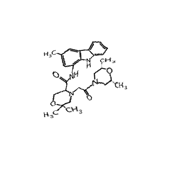 Cc1cc(NC(=O)C2COC(C)(C)CN2CC(=O)N2C[C@@H](C)O[C@@H](C)C2)c2[nH]c3ccccc3c2c1